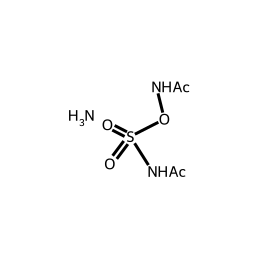 CC(=O)NOS(=O)(=O)NC(C)=O.N